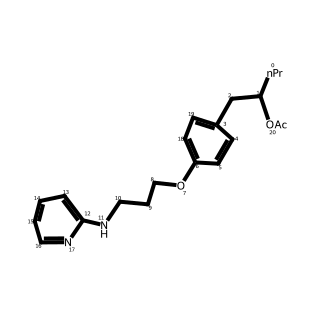 CCCC(Cc1ccc(OCCCNc2ccccn2)cc1)OC(C)=O